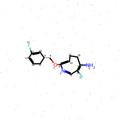 N/C1=C(F)/C=N\C(OC[C@H]2C=C(F)C=CC2)=C\CC1